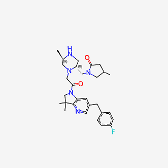 CC1CC(=O)N(C[C@H]2CN[C@H](C)CN2CC(=O)N2CC(C)(C)c3ncc(Cc4ccc(F)cc4)cc32)C1